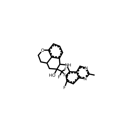 Cc1ncc2c(NC3c4cccc5c4C(CCO5)CC3(O)C(F)(F)F)cc(F)cc2n1